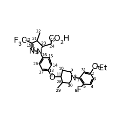 CCOc1ccc(F)c(N2CCC(Oc3ccc(N4N=C(C(F)(F)F)C(C)C4CC(=O)O)cc3)C(C)C2)c1